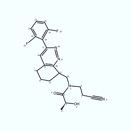 C[C@H](O)C(=O)N(CCC#N)CC1CCCc2cc(-c3c(F)cccc3F)nnc21